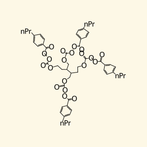 CCCc1ccc(C(=O)OOC(=O)OCCC(COC(=O)OOC(=O)c2ccc(CCC)cc2)C(CCOC(=O)OOC(=O)c2ccc(CCC)cc2)COC(=O)OOC(=O)c2ccc(CCC)cc2)cc1